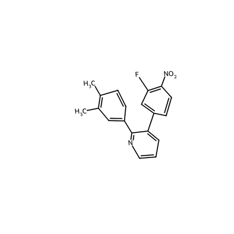 Cc1ccc(-c2ncccc2-c2ccc([N+](=O)[O-])c(F)c2)cc1C